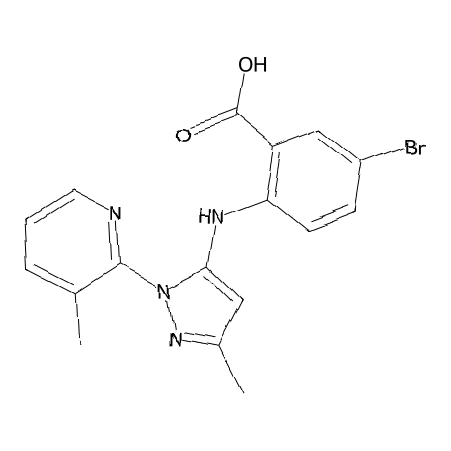 Cc1cc(Nc2ccc(Br)cc2C(=O)O)n(-c2ncccc2C)n1